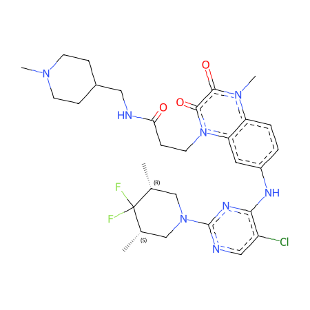 C[C@@H]1CN(c2ncc(Cl)c(Nc3ccc4c(c3)n(CCC(=O)NCC3CCN(C)CC3)c(=O)c(=O)n4C)n2)C[C@H](C)C1(F)F